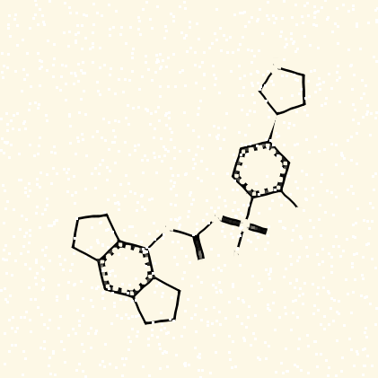 NS(=O)(=NC(=O)Nc1c2c(cc3c1CCC3)CCC2)c1ccc([C@@H]2CCNC2)cc1F